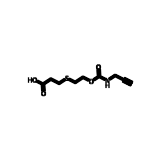 C#CCNC(=O)OCCSCCC(=O)O